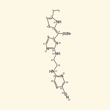 CCC1=CS/C(=C(/C#N)c2ccnc(NCCNc3ccc(C#N)cn3)n2)N1